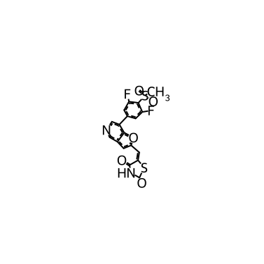 CS(=O)(=O)c1c(F)cc(-c2cncc3cc(/C=C4/SC(=O)NC4=O)oc23)cc1F